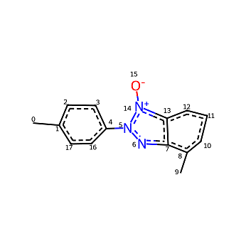 Cc1ccc(-n2nc3c(C)cccc3[n+]2[O-])cc1